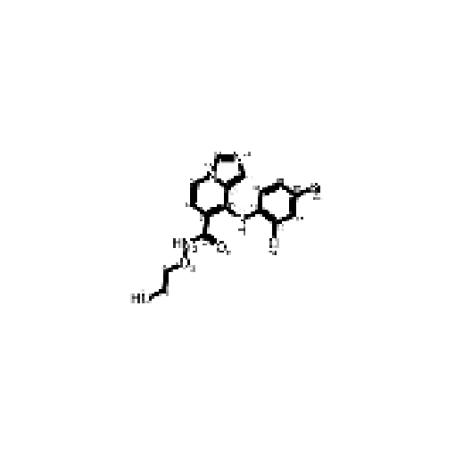 O=C(NOCCO)c1ccn2cncc2c1Nc1ccc(Br)cc1Cl